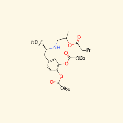 CC(C)COC(=O)Oc1ccc(C[C@H](NCC(C)OC(=O)CC(C)C)C(=O)O)cc1OC(=O)OCC(C)C